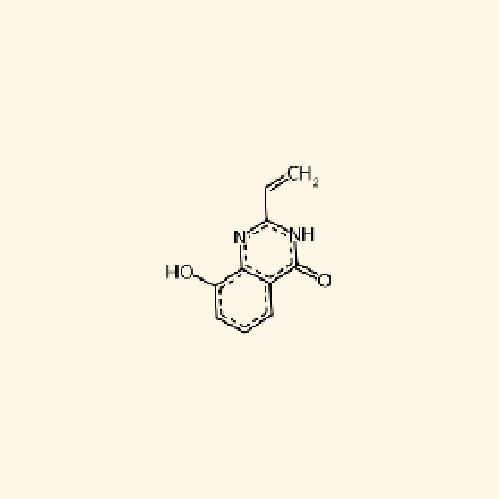 C=Cc1nc2c(O)cccc2c(=O)[nH]1